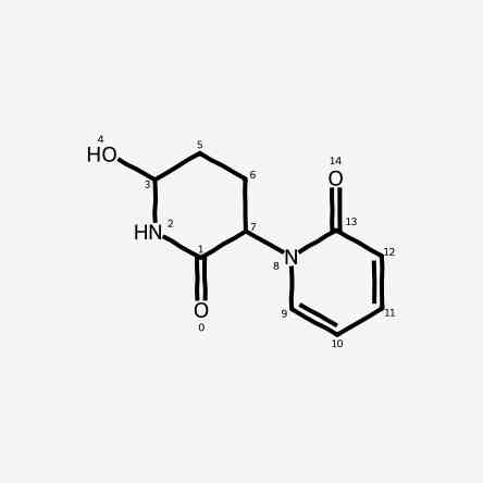 O=C1NC(O)CCC1n1ccccc1=O